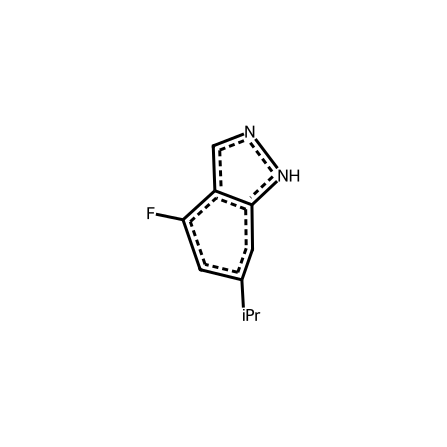 CC(C)c1cc(F)c2cn[nH]c2c1